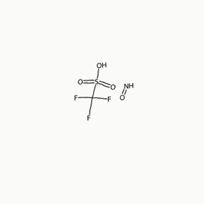 N=O.O=S(=O)(O)C(F)(F)F